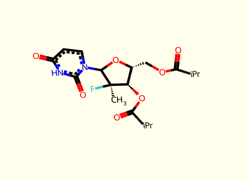 CC(C)C(=O)OC[C@H]1OC(n2ccc(=O)[nH]c2=O)[C@](C)(F)[C@@H]1OC(=O)C(C)C